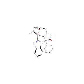 Cc1ccoc1-c1nc2ccccc2n1C(C(N)=O)(C1CCCCC1)C1CCCCC1